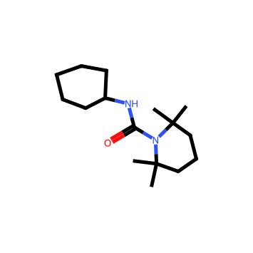 CC1(C)CCCC(C)(C)N1C(=O)NC1CCCCC1